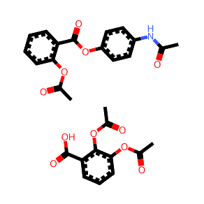 CC(=O)Nc1ccc(OC(=O)c2ccccc2OC(C)=O)cc1.CC(=O)Oc1cccc(C(=O)O)c1OC(C)=O